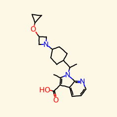 Cc1c(C(=O)O)c2cccnc2n1C(C)C1CCC(N2CC(OC3CC3)C2)CC1